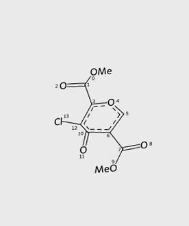 COC(=O)c1occ(C(=O)OC)c(=O)c1Cl